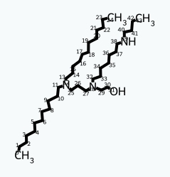 CCCCCCCCCCCCN(CCCCCCCCCCCC)CCCN(CCO)CCCCCCCNCCCC